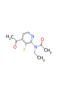 [CH2]C(=O)c1ccnc(N(CC)C(C)=O)c1F